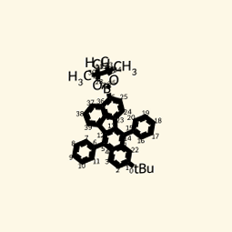 CC(C)(C)c1ccc2c(-c3ccccc3)c3c(c(-c4ccccc4)c2c1)-c1ccc(B2OC(C)(C)C(C)(C)O2)c2cccc-3c12